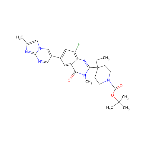 CCC1(c2nc3c(F)cc(-c4cnc5nc(C)cn5c4)cc3c(=O)n2C)CCN(C(=O)OC(C)(C)C)CC1